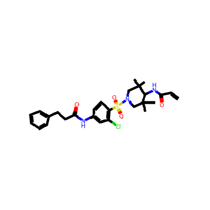 C=CC(=O)NC1C(C)(C)CN(S(=O)(=O)c2ccc(NC(=O)CCc3ccccc3)cc2Cl)CC1(C)C